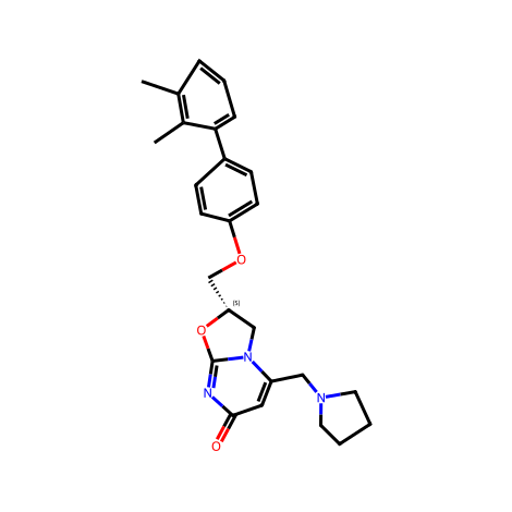 Cc1cccc(-c2ccc(OC[C@@H]3Cn4c(CN5CCCC5)cc(=O)nc4O3)cc2)c1C